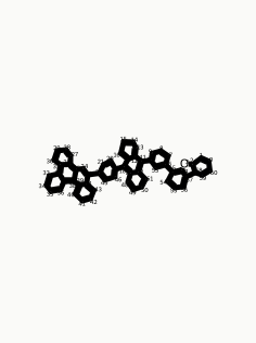 C1=CC2Oc3c(-c4cccc(-c5c6ccccc6c(-c6ccc(-c7cc8c9ccccc9c9ccccc9c8c8ccccc78)cc6)c6ccccc56)c4)cccc3C2C=C1